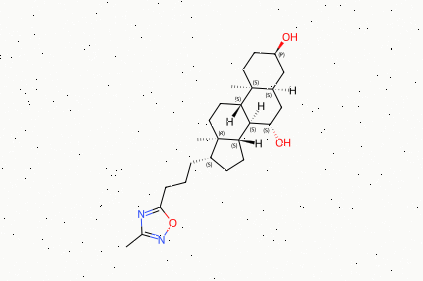 Cc1noc(CCC[C@H]2CC[C@H]3[C@@H]4[C@@H](O)C[C@@H]5C[C@H](O)CC[C@]5(C)[C@H]4CC[C@]23C)n1